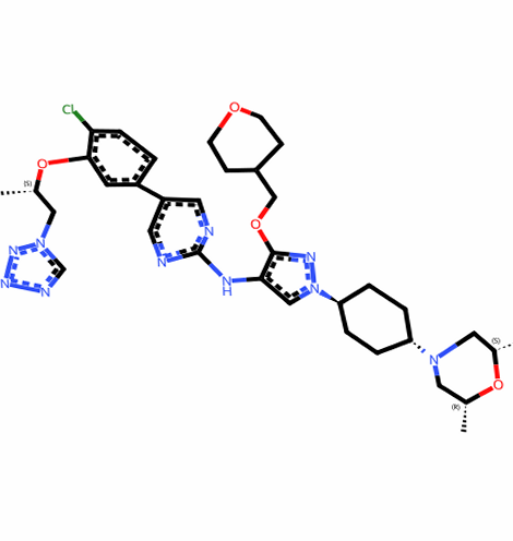 C[C@@H]1CN([C@H]2CC[C@H](n3cc(Nc4ncc(-c5ccc(Cl)c(O[C@@H](C)Cn6cnnn6)c5)cn4)c(OCC4CCOCC4)n3)CC2)C[C@H](C)O1